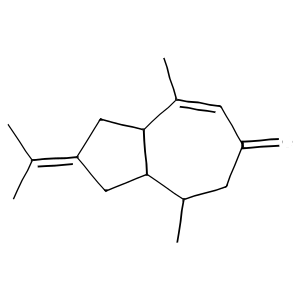 CC1=CC(=O)CC(C)C2CC(=C(C)C)CC12